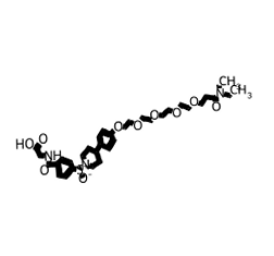 CCN(CC)C(=O)CCOCCOCCOCCOCCOc1ccc(C2CCN([S+]([O-])c3ccc(C(=O)NCC(=O)O)cc3)CC2)cc1